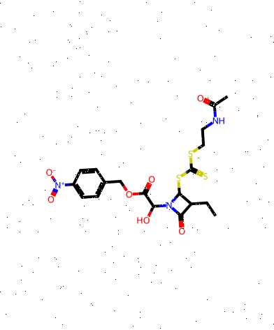 CCC1C(=O)N(C(O)C(=O)OCc2ccc([N+](=O)[O-])cc2)C1SC(=S)SCCNC(C)=O